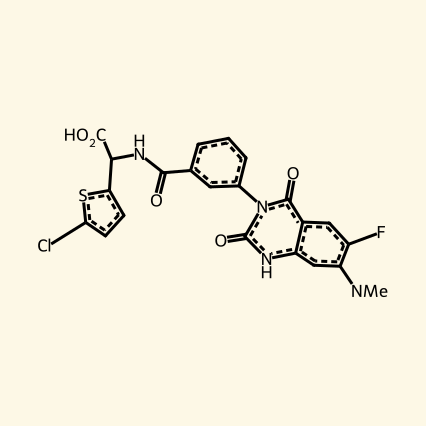 CNc1cc2[nH]c(=O)n(-c3cccc(C(=O)NC(C(=O)O)c4ccc(Cl)s4)c3)c(=O)c2cc1F